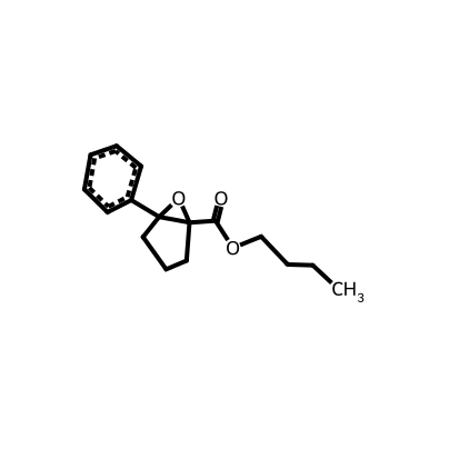 CCCCOC(=O)C12CCCC1(c1ccccc1)O2